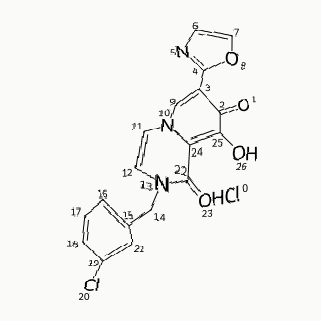 Cl.O=c1c(-c2ncco2)cn2ccn(Cc3cccc(Cl)c3)c(=O)c2c1O